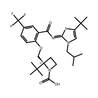 CC(C)Cn1cc(C(C)(C)C)sc1=NC(=O)c1cc(C(F)(F)F)ccc1OC[C@@]1(C(C)(C)C)CCN1C(=O)O